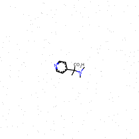 CN(C)C(C)(C(=O)O)c1ccncc1